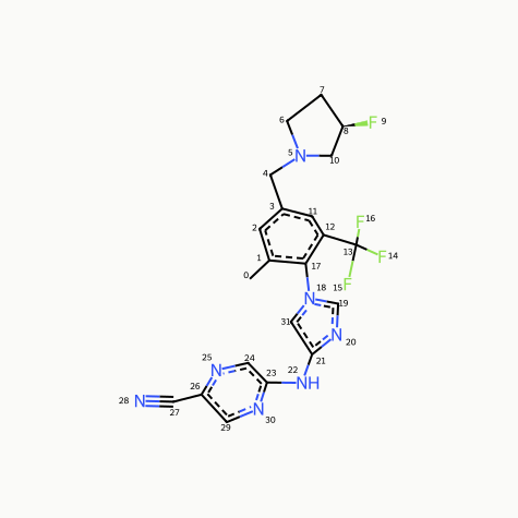 Cc1cc(CN2CC[C@@H](F)C2)cc(C(F)(F)F)c1-n1cnc(Nc2cnc(C#N)cn2)c1